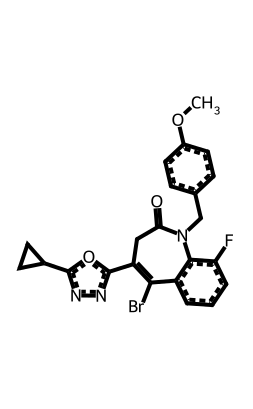 COc1ccc(CN2C(=O)CC(c3nnc(C4CC4)o3)=C(Br)c3cccc(F)c32)cc1